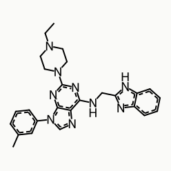 CCN1CCN(c2nc(NCc3nc4ccccc4[nH]3)c3ncn(-c4cccc(C)c4)c3n2)CC1